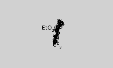 CCOC(=O)CN(Cc1cccc(OCCc2nc(-c3ccc(C(F)(F)F)cc3)oc2C)c1)S(=O)(=O)N1CCCc2ccccc21